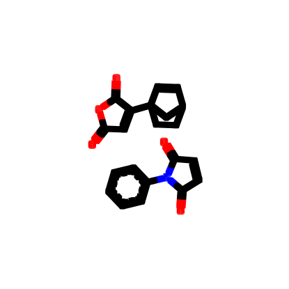 O=C1C=C(C23C=CC(CC2)C3)C(=O)O1.O=C1C=CC(=O)N1c1ccccc1